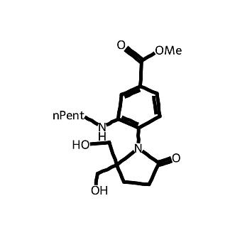 CCCCCNc1cc(C(=O)OC)ccc1N1C(=O)CCC1(CO)CO